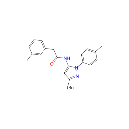 Cc1ccc(-n2nc(C(C)(C)C)cc2NC(=O)Cc2cccc(C)c2)cc1